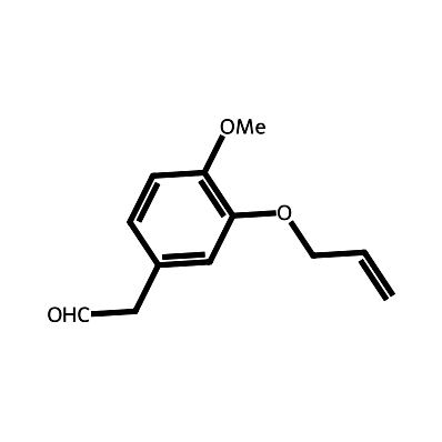 C=CCOc1cc(CC=O)ccc1OC